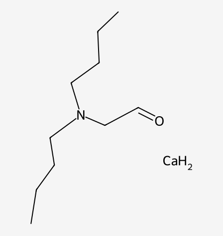 CCCCN(CC=O)CCCC.[CaH2]